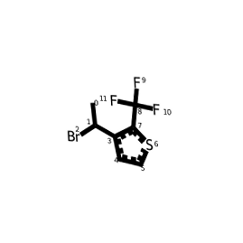 CC(Br)c1ccsc1C(F)(F)F